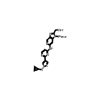 CCCC(C)n1c(CO)nc2cnc(Nc3ccnc(-c4cnn(SC5CC5)c4)n3)cc21